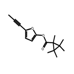 CC#Cc1ccc(OC(=O)C2(C)C(C)(C)C2(C)C)o1